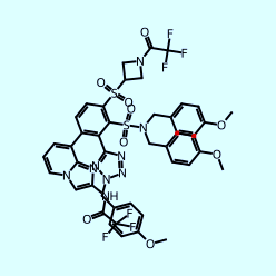 COc1ccc(CN(Cc2ccc(OC)cc2)S(=O)(=O)c2c(S(=O)(=O)C3CN(C(=O)C(F)(F)F)C3)ccc(-c3cccn4cc(NC(=O)C(F)(F)F)nc34)c2-c2nnn(Cc3ccc(OC)cc3)n2)cc1